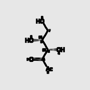 CC(=O)C(=O)[C@@H](O)[C@H](O)CO